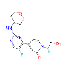 O=c1cc(-c2nc(NC3CCOCC3)ncc2F)ccn1C(F)CO